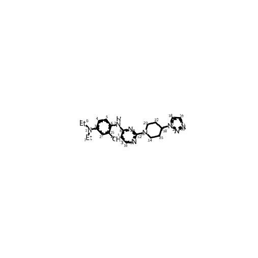 CCN(CC)c1ccc(Nc2ccnc(N3CCC(n4ccnn4)CC3)n2)c(C)c1